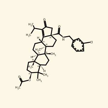 CC(=O)O[C@H]1CC[C@]2(C)[C@H]3CC[C@@H]4C5=C(C(C)C)C(=O)C[C@]5(C(=O)NCc5cccc(Cl)c5)CC[C@@]4(C)[C@]3(C)CC[C@H]2C1(C)C